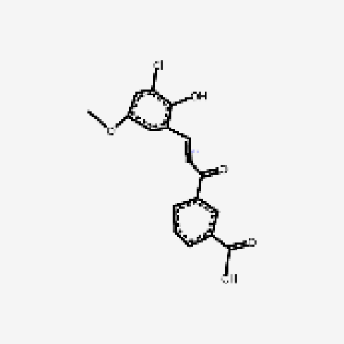 COc1cc(Cl)c(O)c(/C=C/C(=O)c2cccc(C(=O)O)c2)c1